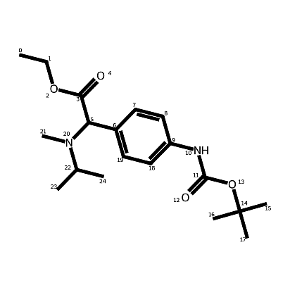 CCOC(=O)C(c1ccc(NC(=O)OC(C)(C)C)cc1)N(C)C(C)C